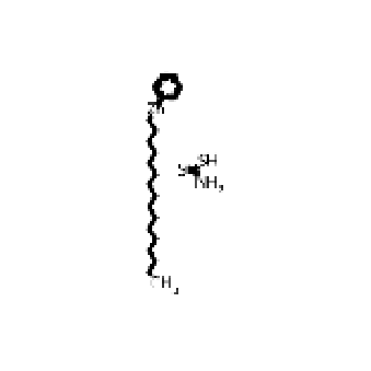 CCCCCCCCCCCCCCC[CH2][Zn][c]1ccccc1.NC(=S)S